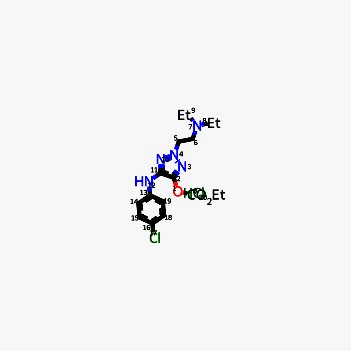 CCOC(=O)Oc1nn(CCN(CC)CC)nc1Nc1ccc(Cl)cc1.Cl